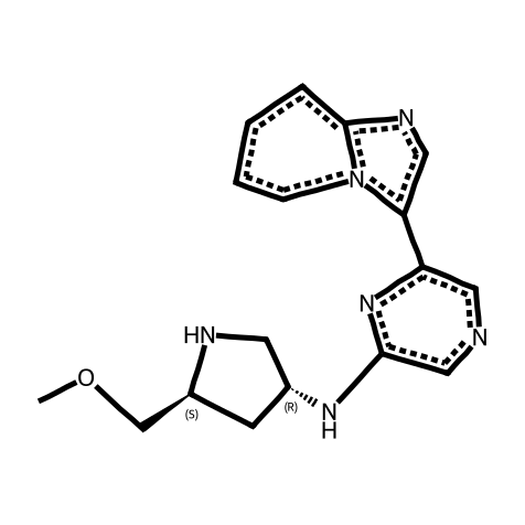 COC[C@@H]1C[C@@H](Nc2cncc(-c3cnc4ccccn34)n2)CN1